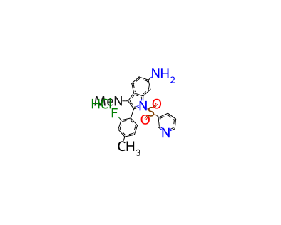 CNc1c(-c2ccc(C)cc2F)n(S(=O)(=O)c2cccnc2)c2cc(N)ccc12.Cl